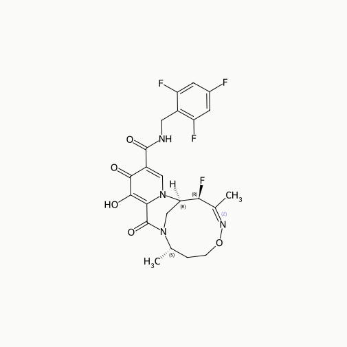 C/C1=N/OCC[C@H](C)N2C[C@H]([C@H]1F)n1cc(C(=O)NCc3c(F)cc(F)cc3F)c(=O)c(O)c1C2=O